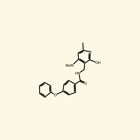 CNc1cc(C)nc(O)c1CNC(=O)c1ccc(Oc2ccccc2)cc1